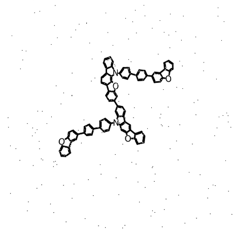 c1ccc2c(c1)oc1ccc(-c3ccc(-c4ccc(-n5c6cc(-c7ccc8c(c7)oc7c8ccc8c9ccccc9n(-c9ccc(-c%10ccc(-c%11ccc%12oc%13ccccc%13c%12c%11)cc%10)cc9)c87)ccc6c6cc7c(cc65)oc5ccccc57)cc4)cc3)cc12